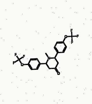 CN1C(c2ccc(OC(F)(F)F)cc2)CC(=O)CC1c1ccc(OC(F)(F)F)cc1